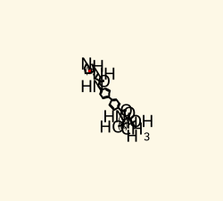 C[C@@H](O)[C@H](NC(=O)c1ccc(-c2ccc(NC(=O)CN[C@H]3CN4CCC3CC4)cc2)cc1)C(=O)NO